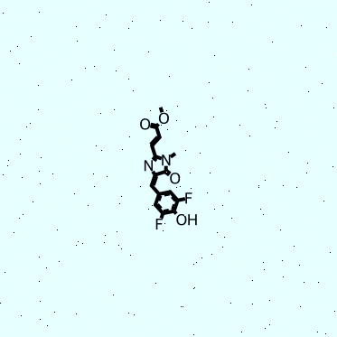 COC(=O)C=CC1=NC(=Cc2cc(F)c(O)c(F)c2)C(=O)N1C